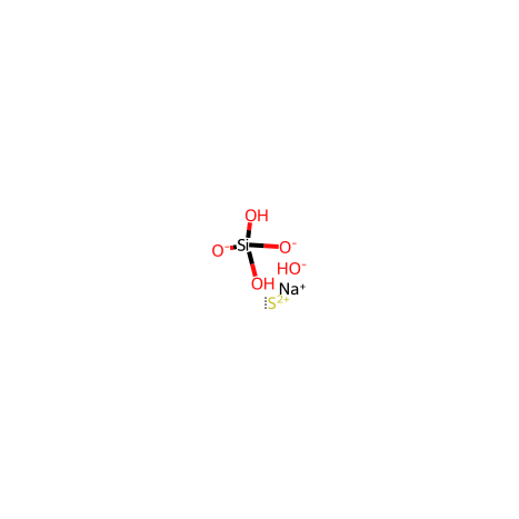 [Na+].[O-][Si]([O-])(O)O.[OH-].[S+2]